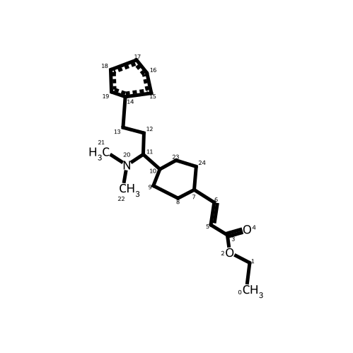 CCOC(=O)/C=C/C1CCC(C(CCc2ccccc2)N(C)C)CC1